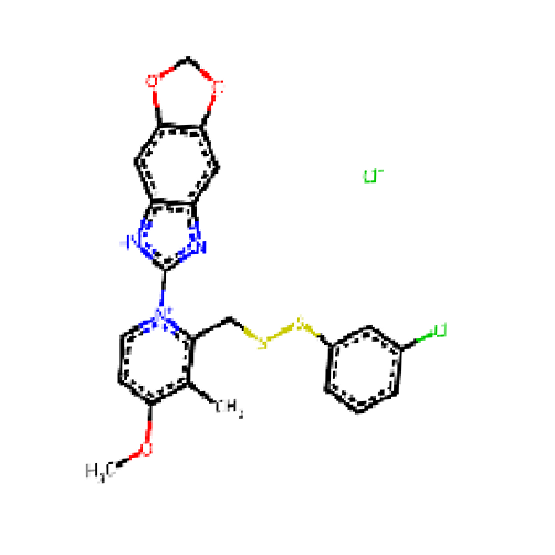 COc1cc[n+](-c2nc3cc4c(cc3[nH]2)OCO4)c(CSSc2cccc(Cl)c2)c1C.[Cl-]